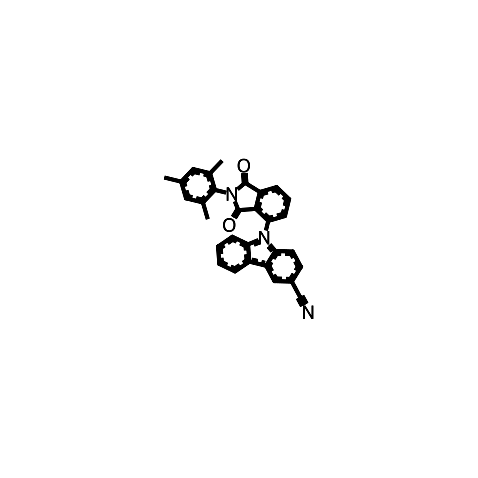 Cc1cc(C)c(N2C(=O)c3cccc(-n4c5ccccc5c5cc(C#N)ccc54)c3C2=O)c(C)c1